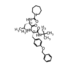 CC(C)C[C@H](NC(=O)N1CCCCCC1)C(=O)N[C@@H](Cc1ccc(OCc2ccccc2)cc1)C(=O)NC(C)(C)C